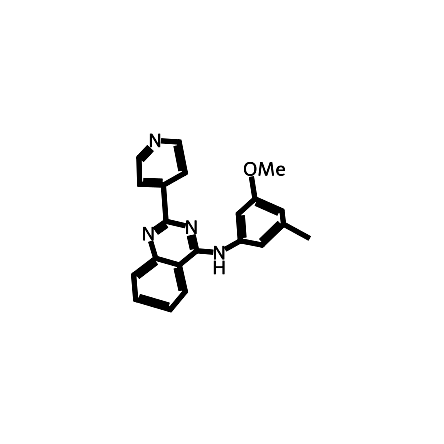 COc1cc(C)cc(Nc2nc(-c3ccncc3)nc3ccccc23)c1